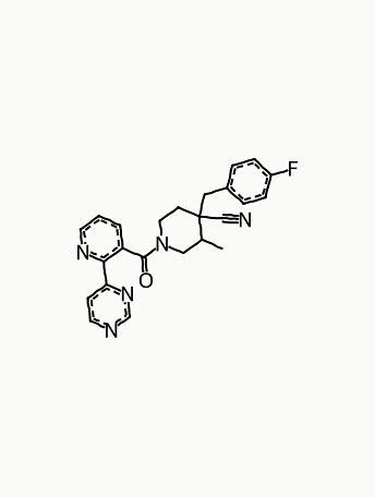 CC1CN(C(=O)c2cccnc2-c2ccncn2)CCC1(C#N)Cc1ccc(F)cc1